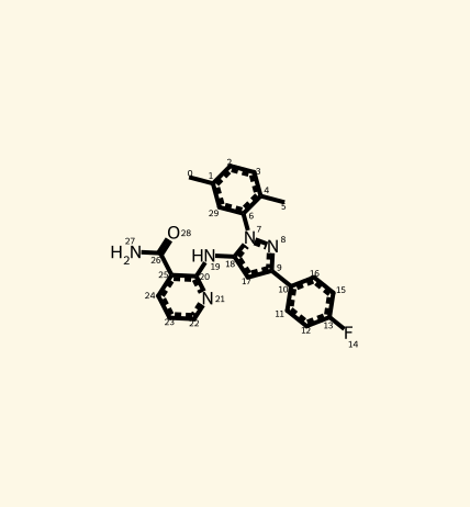 Cc1ccc(C)c(-n2nc(-c3ccc(F)cc3)cc2Nc2ncccc2C(N)=O)c1